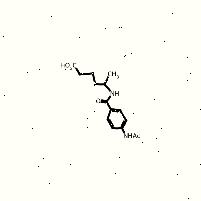 CC(=O)Nc1ccc(C(=O)NC(C)CCCC(=O)O)cc1